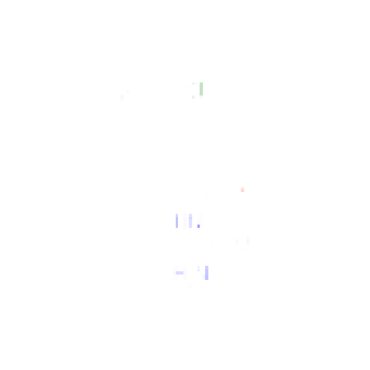 NC(=O)NC(=O)c1ccc(Cl)c(Cl)c1